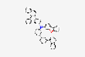 c1ccc(-c2c(-c3ccc(N(c4cccc(-c5cccc(-c6cccc7ccccc67)c5)c4)c4ccc5c(c4)oc4ccccc45)cc3)ccc3ccccc23)cc1